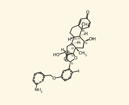 C[C@]12C=CC(=O)C=C1CC[C@@H]1[C@@H]2[C@@H](O)C[C@@]2(C)[C@H]1C[C@H]1O[C@H](c3cc(OCc4cccc(N)c4)ccc3I)O[C@]12C(=O)CO